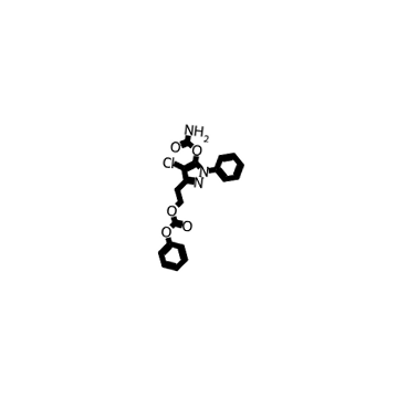 NC(=O)Oc1c(Cl)c(CCOC(=O)Oc2ccccc2)nn1-c1ccccc1